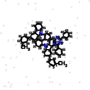 Cc1cccc(-c2ccc3c(c2)c2ccccc2n3-c2ccccc2-c2cc(-c3nc(-c4ccccc4)nc(-c4ccccc4)n3)ccc2-n2c3ccccc3c3cc(-c4cccc(C)c4)ccc32)c1